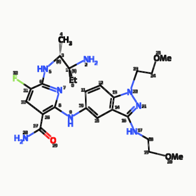 CC[C@H](N)[C@@H](C)Nc1nc(Nc2ccc3c(c2)c(NCCOC)nn3CCOC)c(C(N)=O)cc1F